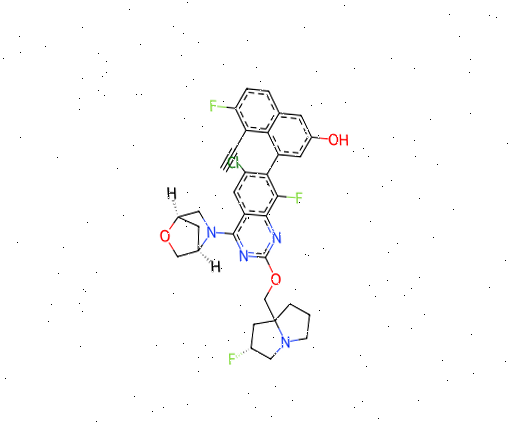 C#Cc1c(F)ccc2cc(O)cc(-c3c(Cl)cc4c(N5C[C@H]6C[C@@H]5CO6)nc(OCC56CCCN5C[C@H](F)C6)nc4c3F)c12